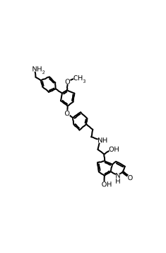 COc1ccc(Oc2ccc(CCNCC(O)c3ccc(O)c4[nH]c(=O)ccc34)cc2)cc1-c1ccc(CN)cc1